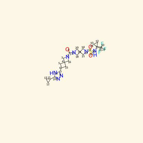 O=C(N1CC2(CC(c3nnc(C4CC4)[nH]3)C2)C1)N1CC2(C1)CN(S(=O)(=O)NC1(C(F)(F)F)CC1)C2